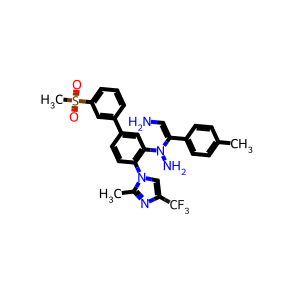 Cc1ccc(/C(=C/N)N(N)c2cc(-c3cccc(S(C)(=O)=O)c3)ccc2-n2cc(C(F)(F)F)nc2C)cc1